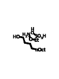 CCCCCCCCCCCCO.CCON.O=S(=O)(O)O